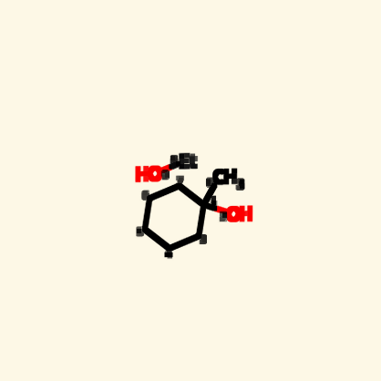 CC1(O)CCCCC1.CCO